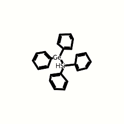 c1ccc([SiH](c2ccccc2)[Ge]([c]2ccccc2)[c]2ccccc2)cc1